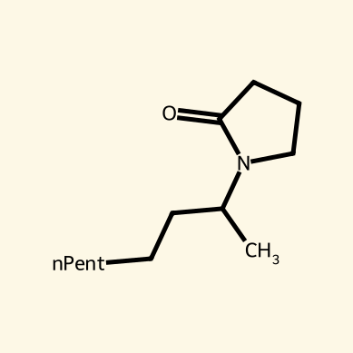 CCCCCCCC(C)N1CCCC1=O